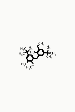 CCc1cc(C(C)(C)C)cc(Cc2cc(C(C)(C)C)cc(C)c2OC)c1O